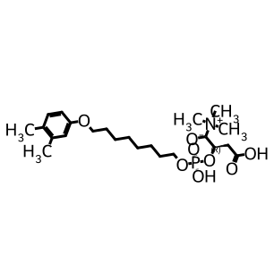 Cc1ccc(OCCCCCCCCOP(=O)(O)O[C@H](CC(=O)O)C([O-])[N+](C)(C)C)cc1C